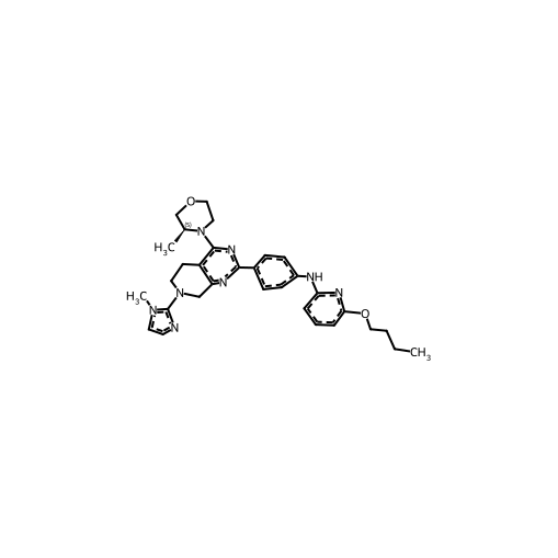 CCCCOc1cccc(Nc2ccc(-c3nc4c(c(N5CCOC[C@@H]5C)n3)CCN(c3nccn3C)C4)cc2)n1